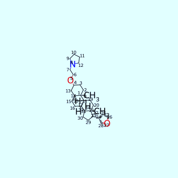 C[C@]12CCC(OCCN3CCCC3)CC1=CC[C@@H]1[C@H]2CC[C@]2(C)C(c3ccoc3)CC[C@@H]12